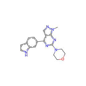 Cn1ncc2c(-c3ccc4cc[nH]c4c3)nc(N3CCOCC3)nc21